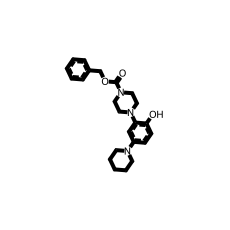 O=C(OCc1ccccc1)N1CCN(c2cc(N3CCCCC3)ccc2O)CC1